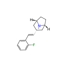 CN1[C@@H]2CC[C@H]1C[C@@H](/C=C/c1ccccc1F)C2